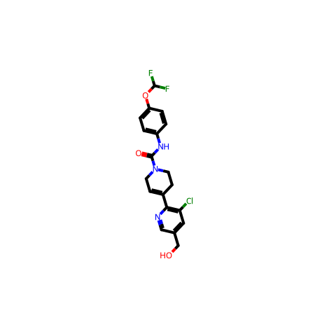 O=C(Nc1ccc(OC(F)F)cc1)N1CC=C(c2ncc(CO)cc2Cl)CC1